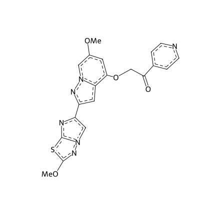 COc1cc(OCC(=O)c2ccncc2)c2cc(-c3cn4nc(OC)sc4n3)nn2c1